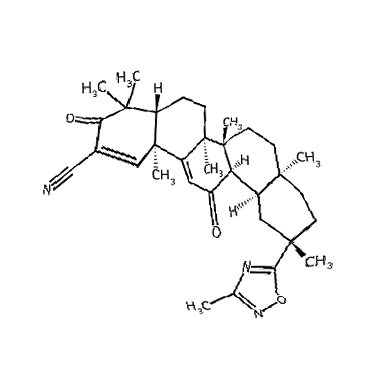 Cc1noc([C@@]2(C)CC[C@]3(C)CC[C@]4(C)[C@H](C(=O)C=C5[C@@]6(C)C=C(C#N)C(=O)C(C)(C)[C@@H]6CC[C@]54C)[C@@H]3C2)n1